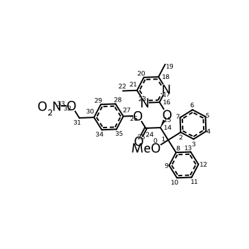 COC(c1ccccc1)(c1ccccc1)[C@H](Oc1nc(C)cc(C)n1)C(=O)Oc1ccc(CO[N+](=O)[O-])cc1